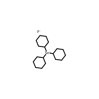 C1CC[CH]([Sn+]([CH]2CCCCC2)[CH]2CCCCC2)CC1.[F-]